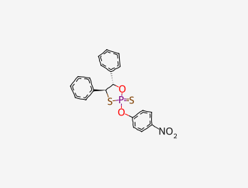 O=[N+]([O-])c1ccc(OP2(=S)O[C@@H](c3ccccc3)[C@H](c3ccccc3)S2)cc1